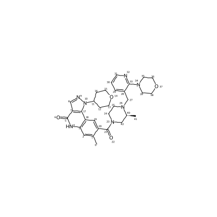 Cc1cc2[nH]c(=O)c3cnn(C4CCOCC4)c3c2cc1C(=O)N1CCN(Cc2cccnc2N2CCOCC2)[C@@H](C)C1